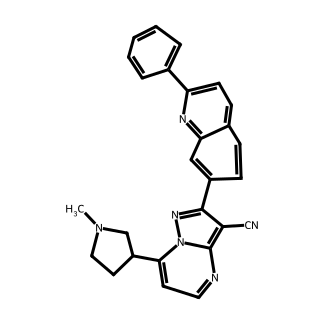 CN1CCC(c2ccnc3c(C#N)c(-c4ccc5ccc(-c6ccccc6)nc5c4)nn23)C1